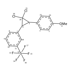 COc1ccc(C2C(c3cccc(S(F)(F)(F)(F)F)c3)C2(Cl)Cl)cc1